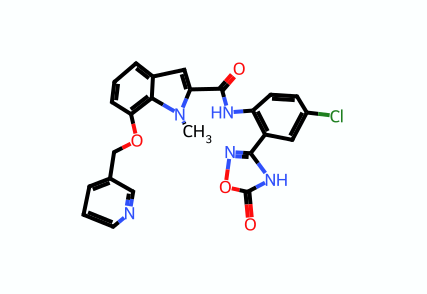 Cn1c(C(=O)Nc2ccc(Cl)cc2-c2noc(=O)[nH]2)cc2cccc(OCc3cccnc3)c21